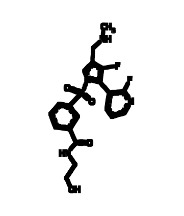 CNCc1cn(S(=O)(=O)c2cccc(C(=O)NCCO)c2)c(-c2cccnc2F)c1F